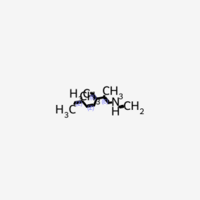 C=CN/C=C(C)/C(/C=C\C(C)=C/C)=C/C